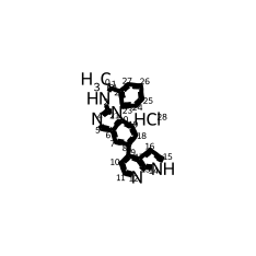 C[C@@H](Nc1ncc2cc(-c3ccnc4[nH]ccc34)ccc2n1)c1ccccc1.Cl